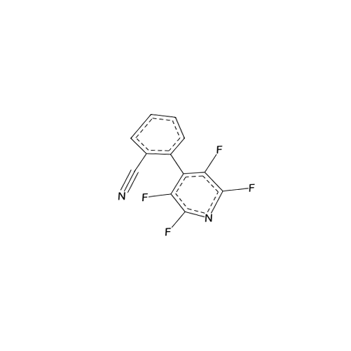 N#Cc1ccccc1-c1c(F)c(F)nc(F)c1F